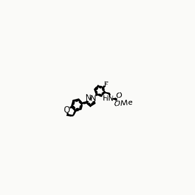 COC(=O)NCc1cc(-n2ccc(-c3ccc4c(c3)CCO4)n2)ccc1F